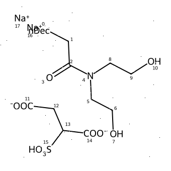 CCCCCCCCCCCC(=O)N(CCO)CCO.O=C([O-])CC(C(=O)[O-])S(=O)(=O)O.[Na+].[Na+]